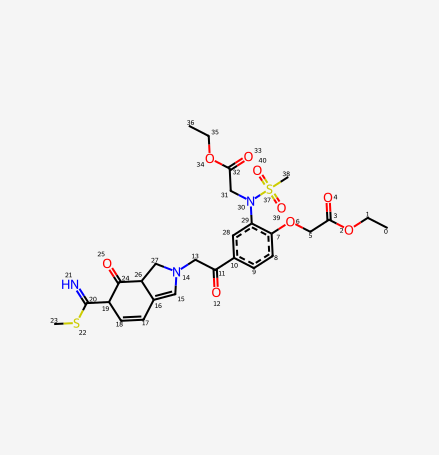 CCOC(=O)COc1ccc(C(=O)CN2C=C3C=CC(C(=N)SC)C(=O)C3C2)cc1N(CC(=O)OCC)S(C)(=O)=O